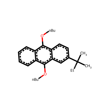 CCCCOc1c2ccccc2c(OCCCC)c2cc(C(C)(C)CC)ccc12